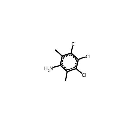 Cc1c(N)c(C)c(Cl)c(Cl)c1Cl